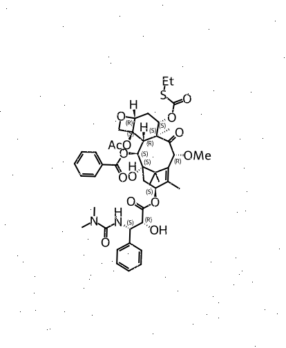 CCSC(=O)O[C@H]1C[C@H]2OC[C@@]2(OC(C)=O)[C@H]2[C@H](OC(=O)c3ccccc3)[C@]3(O)C[C@H](OC(=O)[C@H](O)[C@@H](NC(=O)N(C)C)c4ccccc4)C(C)=C([C@@H](OC)C(=O)[C@]12C)C3(C)C